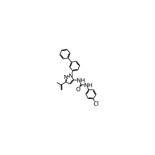 C=C(C)c1cc(NC(=O)Nc2ccc(Cl)cc2)n(-c2cccc(-c3ccccc3)c2)n1